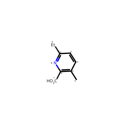 CCc1ccc(C)c(C(=O)O)n1